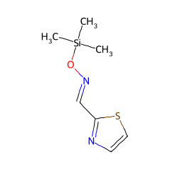 C[Si](C)(C)ON=Cc1nccs1